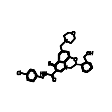 O=C(NCc1ccc(Cl)cc1)c1cn2c3c(cc(CN4CCOCC4)cc3c1=S)OC(c1ccccc1CO)C2